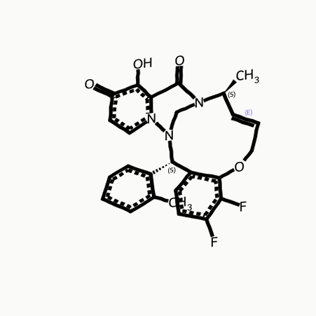 Cc1ccccc1[C@H]1c2ccc(F)c(F)c2OC/C=C/[C@H](C)N2CN1n1ccc(=O)c(O)c1C2=O